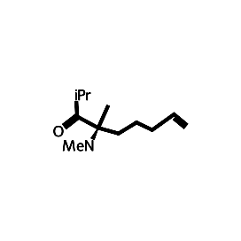 C=CCCC[C@](C)(NC)C(=O)C(C)C